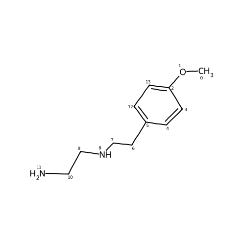 COc1ccc(CCNCCN)cc1